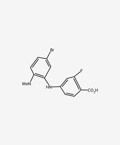 CNc1ccc(Br)cc1Nc1ccc(C(=O)O)c(F)c1